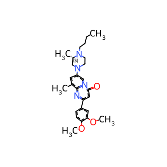 CCCCN1CCN(c2cc(C)c3nc(-c4ccc(OC)c(OC)c4)cc(=O)n3c2)C[C@@H]1C